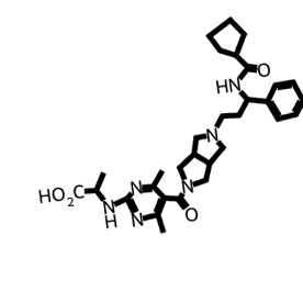 Cc1nc(NC(C)C(=O)O)nc(C)c1C(=O)N1CC2CN(CCC(NC(=O)C3CCCC3)c3ccccc3)CC2C1